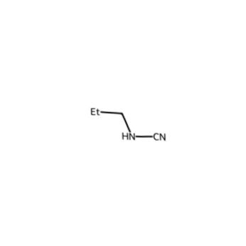 CCCNC#N